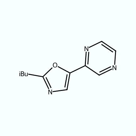 CCC(C)c1ncc(-c2cnccn2)o1